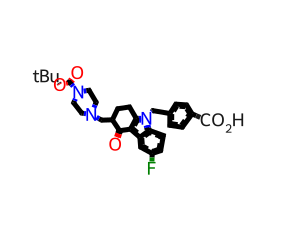 CC(C)(C)OC(=O)N1CCN(CC2CCc3c(c4cc(F)ccc4n3Cc3ccc(C(=O)O)cc3)C2=O)CC1